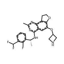 Cc1nc(N[C@H](C)c2cccc(C(F)F)c2F)c2cc(OC3CNC3)c3c(c2n1)CCO3